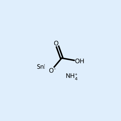 O=C([O-])O.[NH4+].[Sn]